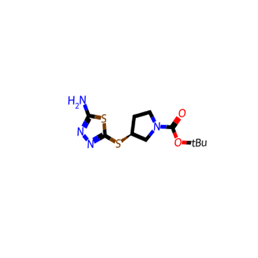 CC(C)(C)OC(=O)N1CC[C@H](Sc2nnc(N)s2)C1